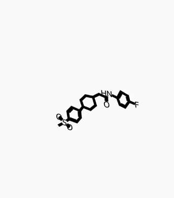 CS(=O)(=O)c1ccc(C2CCC(CC(=O)Nc3ccc(F)cc3)CC2)cc1